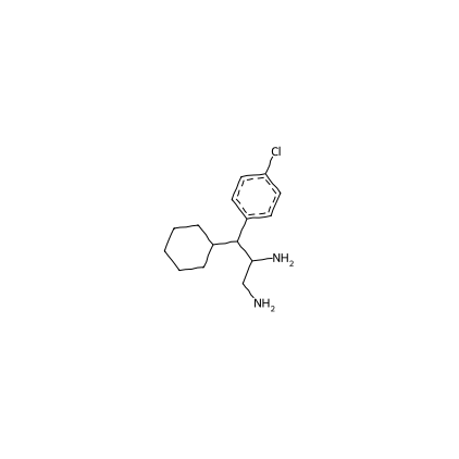 NCC(N)C(c1ccc(Cl)cc1)C1CCCCC1